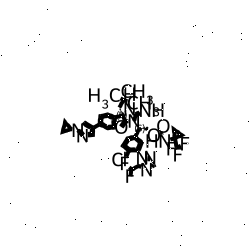 CC(C)(C)C[C@]1(c2ccc(-c3cnn(C4CC4)c3)cc2)NC(=N)N([C@H](COC(=O)NC2(C(F)(F)F)CC2)c2ccc(Cl)c(-n3ncnc3C(F)F)c2)C1=O